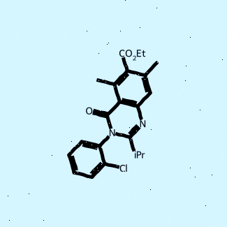 CCOC(=O)c1c(C)cc2nc(C(C)C)n(-c3ccccc3Cl)c(=O)c2c1C